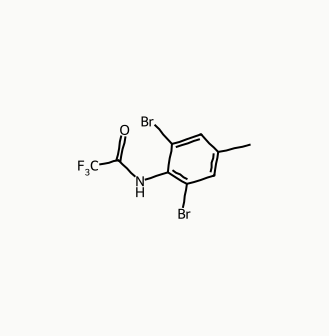 Cc1cc(Br)c(NC(=O)C(F)(F)F)c(Br)c1